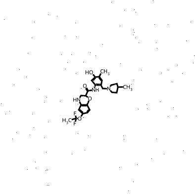 Cc1cc(CN2CCC(C)CC2)c(NC(=O)C2CNc3cc(OC(C)(F)F)ccc3O2)cc1O